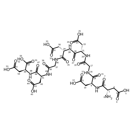 N[C@@H](CC(=O)O)C(=O)N[C@@H](CC(=O)O)C(=O)NCC(=O)N[C@@H](CC(=O)O)C(=O)N[C@@H](CC(=O)O)C(=O)NCC(=O)N[C@@H](CC(=O)O)C(=O)N[C@@H](CC(=O)O)C(=O)O